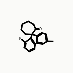 Cc1ccc(C2(c3ccccc3F)CCCCCC2=O)cc1